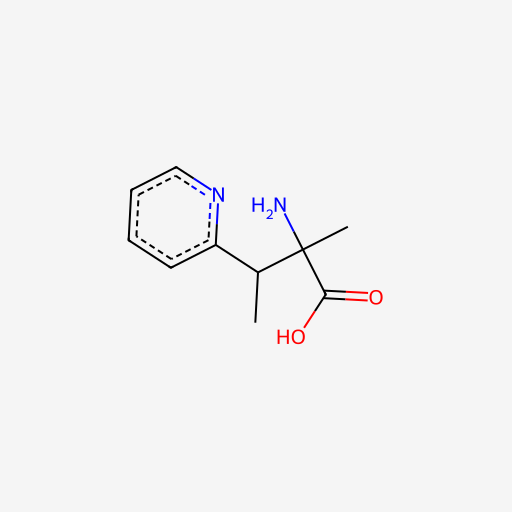 CC(c1ccccn1)C(C)(N)C(=O)O